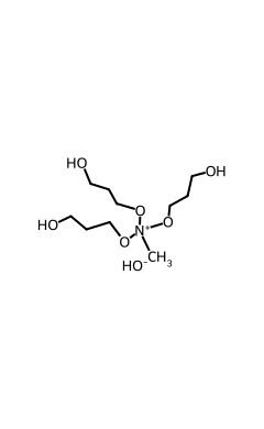 C[N+](OCCCO)(OCCCO)OCCCO.[OH-]